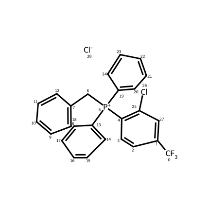 FC(F)(F)c1ccc([P+](Cc2ccccc2)(c2ccccc2)c2ccccc2)c(Cl)c1.[Cl-]